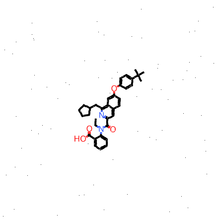 CCN(C(=O)c1cc2ccc(Oc3ccc(C(C)(C)C)cc3)cc2c(CC2CCCC2)n1)c1ccccc1C(=O)O